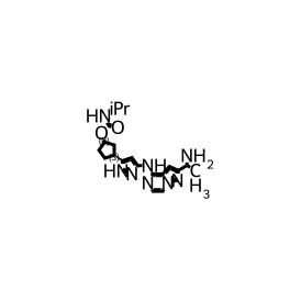 CC(C)NC(=O)O[C@@H]1CC[C@H](c2cc(Nc3nccn4nc(C(C)N)cc34)n[nH]2)C1